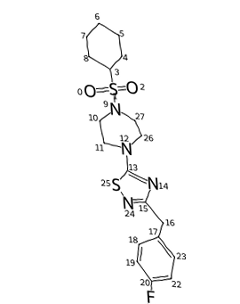 O=S(=O)(C1CCCCC1)N1CCN(c2nc(Cc3ccc(F)cc3)ns2)CC1